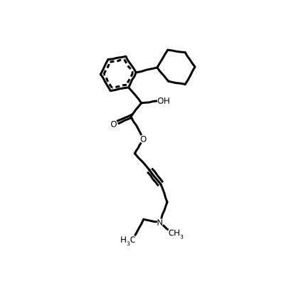 CCN(C)CC#CCOC(=O)C(O)c1ccccc1C1CCCCC1